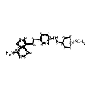 CN1CCC(COc2ccc(CCc3cccc4c(N)nccc34)cn2)CC1